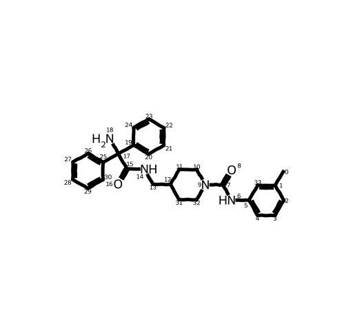 Cc1cccc(NC(=O)N2CCC(CNC(=O)C(N)(c3ccccc3)c3ccccc3)CC2)c1